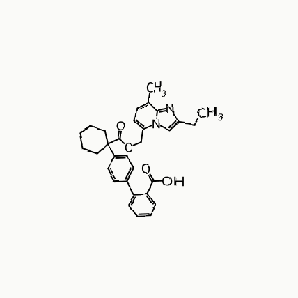 CCc1cn2c(COC(=O)C3(c4ccc(-c5ccccc5C(=O)O)cc4)CCCCC3)ccc(C)c2n1